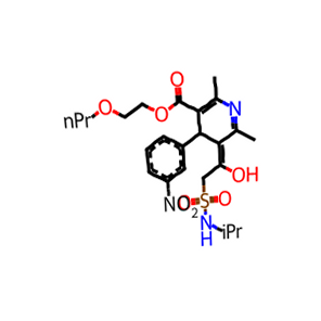 CCCOCCOC(=O)C1=C(C)N=C(C)C(=C(O)CS(=O)(=O)NC(C)C)C1c1cccc([N+](=O)[O-])c1